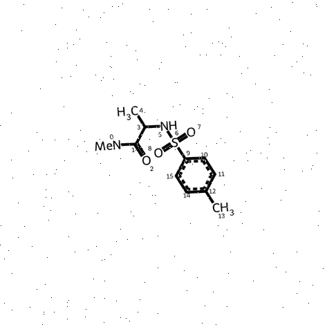 CNC(=O)C(C)NS(=O)(=O)c1ccc(C)cc1